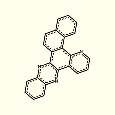 c1ccc2c(c1)ccc1c3nc4ccccc4nc3c3cccnc3c21